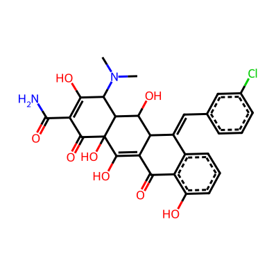 CN(C)C1C(O)=C(C(N)=O)C(=O)C2(O)C(O)=C3C(=O)c4c(O)cccc4/C(=C\c4cccc(Cl)c4)C3C(O)C12